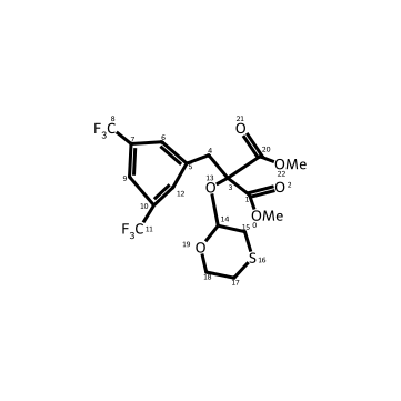 COC(=O)C(Cc1cc(C(F)(F)F)cc(C(F)(F)F)c1)(OC1CSCCO1)C(=O)OC